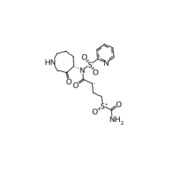 NC(=O)[S+]([O-])CC[CH]C(=O)N([C@H]1CCCNCC1=O)S(=O)(=O)c1ccccn1